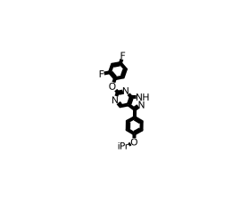 CC(C)Oc1ccc(-c2n[nH]c3nc(Oc4ccc(F)cc4F)ncc23)cc1